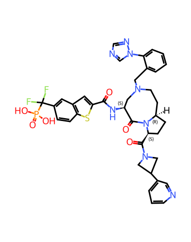 O=C(N[C@H]1CN(Cc2ccccc2-n2cncn2)CC[C@H]2CC[C@@H](C(=O)N3CC(c4cccnc4)C3)N2C1=O)c1cc2cc(C(F)(F)P(=O)(O)O)ccc2s1